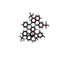 Cc1cc(C)c2c(c1)C1(C)CCc3ccccc3C1(C)N2c1cc2c3c(c1)N(c1ccc(C(C)(C)C)cc1-c1ccccc1)c1ccc(C(C)(C)C)cc1B3c1ccccc1N2c1ccc(C(C)(C)C)cc1-c1ccccc1